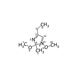 CCC1=NC(C)(OC)[N+](OC)=C1